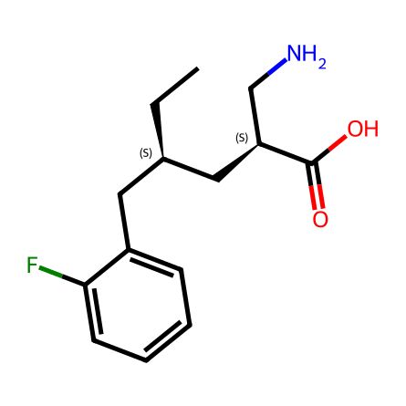 CC[C@H](Cc1ccccc1F)C[C@@H](CN)C(=O)O